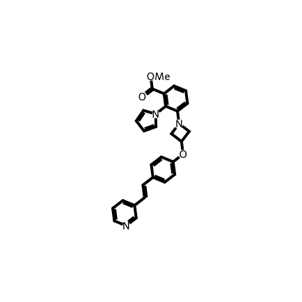 COC(=O)c1cccc(N2CC(Oc3ccc(/C=C/c4cccnc4)cc3)C2)c1-n1cccc1